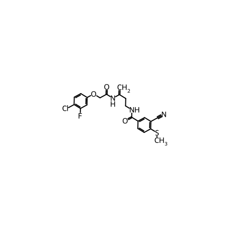 C=C(CCNC(=O)c1ccc(SC)c(C#N)c1)NC(=O)COc1ccc(Cl)c(F)c1